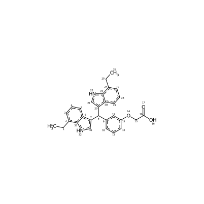 CCc1cccc2c(C(c3cccc(OCC(=O)O)c3)c3c[nH]c4c(CC)cccc34)c[nH]c12